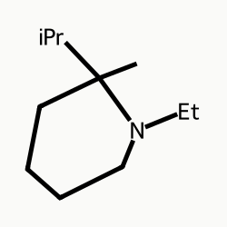 CCN1CCCCC1(C)C(C)C